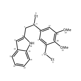 CCOc1cc(N(CC)Cc2cc3ccccc3[nH]2)cc(OC)c1OC